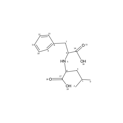 CC(C)CC(NC(Cc1ccccc1)C(=O)O)C(=O)O